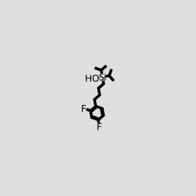 CC(C)[Si](O)(CCCCc1ccc(F)cc1F)C(C)C